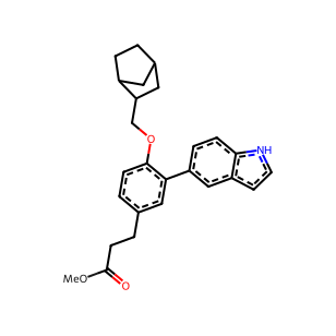 COC(=O)CCc1ccc(OCC2CC3CCC2C3)c(-c2ccc3[nH]ccc3c2)c1